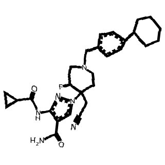 N#CCC1(n2cc(C(N)=O)c(NC(=O)C3CC3)n2)CCN(Cc2ccc(C3CCCCC3)cc2)CC1F